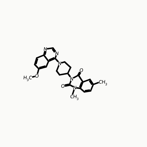 COc1ccc2ncnc(N3CCC(n4c(=O)c5cc(C)ccc5n(C)c4=O)CC3)c2c1